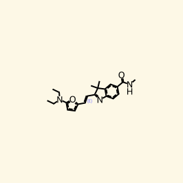 CCN(CC)c1ccc(/C=C/C2=Nc3ccc(C(=O)NC)cc3C2(C)C)o1